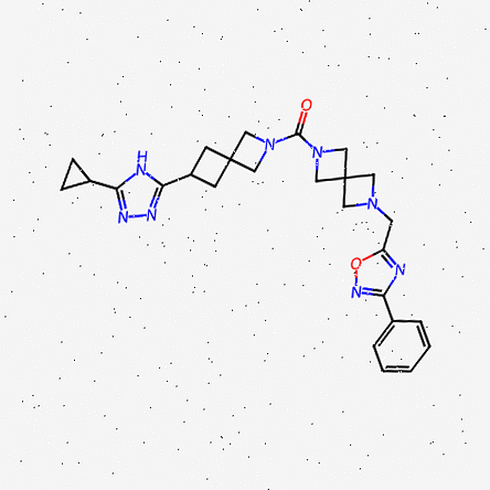 O=C(N1CC2(CC(c3nnc(C4CC4)[nH]3)C2)C1)N1CC2(CN(Cc3nc(-c4ccccc4)no3)C2)C1